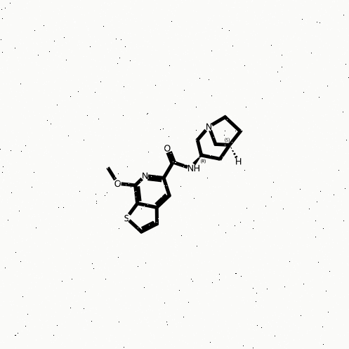 COc1nc(C(=O)N[C@@H]2C[C@@H]3CCN(C3)C2)cc2ccsc12